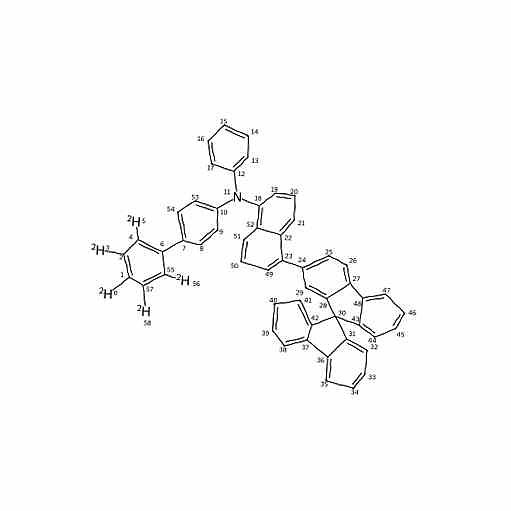 [2H]c1c([2H])c([2H])c(-c2ccc(N(c3ccccc3)c3cccc4c(-c5ccc6c(c5)C5(c7ccccc7-c7ccccc75)c5ccccc5-6)cccc34)cc2)c([2H])c1[2H]